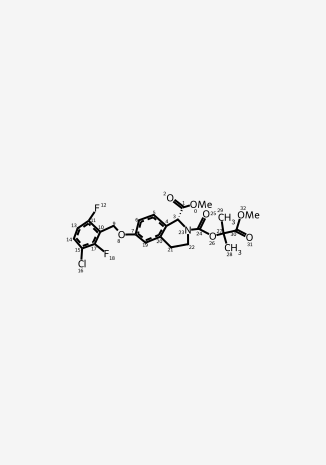 COC(=O)[C@H]1c2ccc(OCc3c(F)ccc(Cl)c3F)cc2CCN1C(=O)OC(C)(C)C(=O)OC